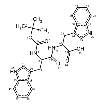 CC(C)(C)OC(=O)NC(Cc1c[nH]c2ccccc12)C(=O)NC(Cc1c[nH]c2ccccc12)C(=O)O